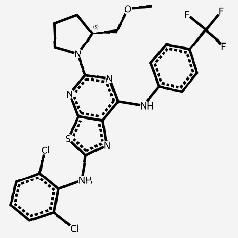 COC[C@@H]1CCCN1c1nc(Nc2ccc(C(F)(F)F)cc2)c2nc(Nc3c(Cl)cccc3Cl)sc2n1